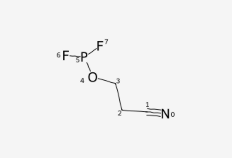 N#CCCOP(F)F